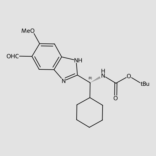 COc1cc2[nH]c([C@H](NC(=O)OC(C)(C)C)C3CCCCC3)nc2cc1C=O